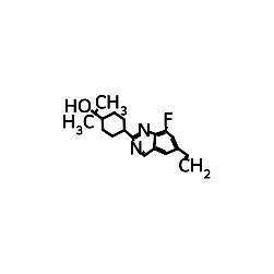 C=Cc1cc(F)c2nc(C3CCC(C(C)(C)O)CC3)ncc2c1